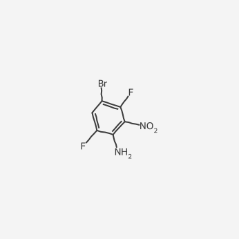 Nc1c(F)cc(Br)c(F)c1[N+](=O)[O-]